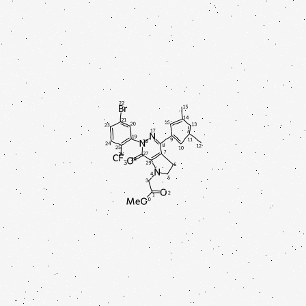 COC(=O)CN1CCc2c(-c3cc(C)cc(C)c3)nn(-c3cc(Br)ccc3C(F)(F)F)c(=O)c21